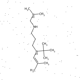 CC(C)=C[SiH](CCCNC[SiH](C)C)C(C)(C)C